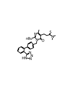 CCCCc1nc(C)c(CCC(=S)N(C)C)c(=O)n1Cc1ccc(-c2ccccc2-c2nnn[nH]2)cc1